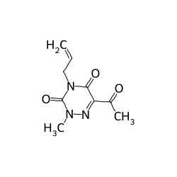 C=CCn1c(=O)c(C(C)=O)nn(C)c1=O